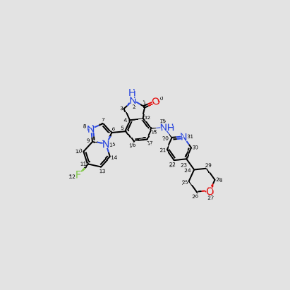 O=C1NCc2c(-c3cnc4cc(F)ccn34)ccc(Nc3ccc(C4CCOCC4)cn3)c21